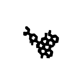 C=CC(=O)N1CCN(c2nc(=O)n(-c3c(SC)ccnc3C(C)C)c3nc(-c4c(F)cccc4SC)c(F)cc23)[C@@H](C)C1